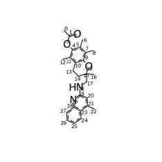 CC(=O)Oc1c(C)c(C)c2c(c1C)CCC(C)(CNc1cc(C)c3ccccc3n1)O2